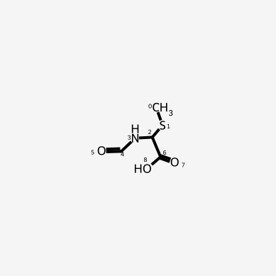 CSC(NC=O)C(=O)O